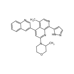 Cc1cnc(-c2ccn[nH]2)c2nc(N3CCOCC3C)cc(-c3cnc4ccccc4c3)c12